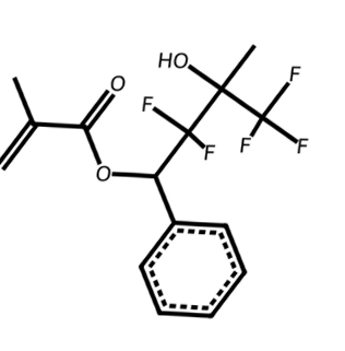 C=C(C)C(=O)OC(c1ccccc1)C(F)(F)C(C)(O)C(F)(F)F